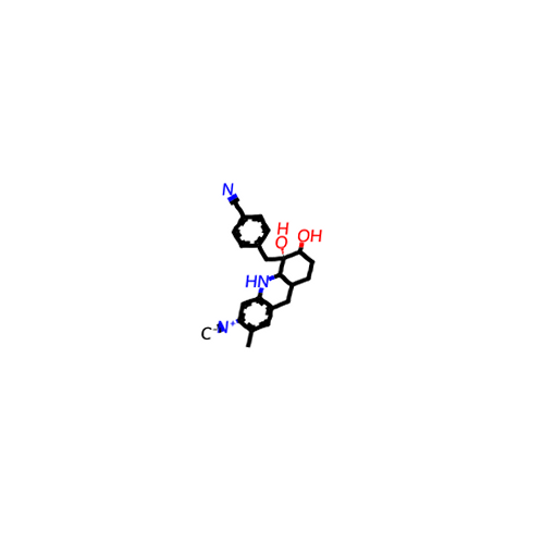 [C-]#[N+]c1cc2c(cc1C)CC1CCC(O)[C@](O)(Cc3ccc(C#N)cc3)C1N2